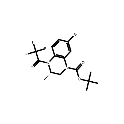 C[C@H]1CN(C(=O)OC(C)(C)C)c2cc(Br)ccc2N1C(=O)C(F)(F)F